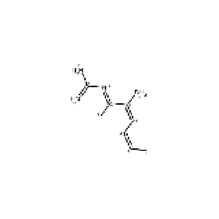 C\C=C/C=C(N)\C(C)=N\C(=N)N